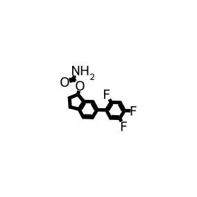 NC(=O)OC1CCc2ccc(-c3cc(F)c(F)cc3F)cc21